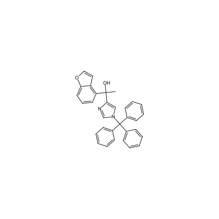 CC(O)(c1cn(C(c2ccccc2)(c2ccccc2)c2ccccc2)cn1)c1cccc2occc12